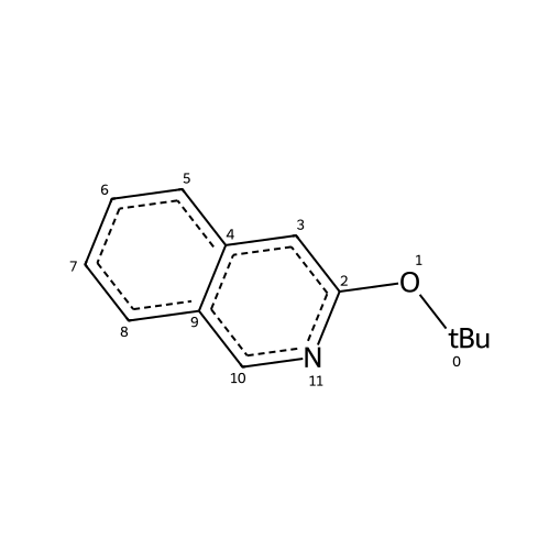 CC(C)(C)Oc1cc2ccccc2cn1